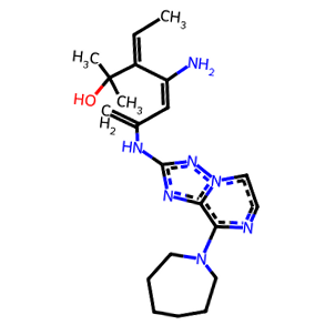 C=C(/C=C(N)\C(=C/C)C(C)(C)O)Nc1nc2c(N3CCCCCC3)nccn2n1